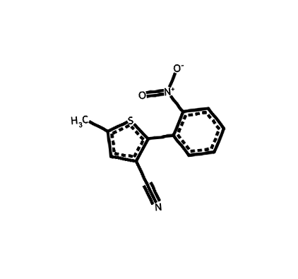 Cc1cc(C#N)c(-c2ccccc2[N+](=O)[O-])s1